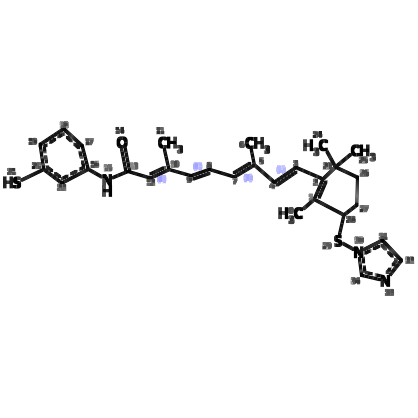 CC1=C(/C=C/C(C)=C/C=C/C(C)=C/C(=O)Nc2cccc(S)c2)C(C)(C)CCC1Sn1ccnc1